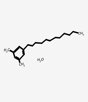 CCCCCCCCCCCCc1cc(C)cc(C)c1.O